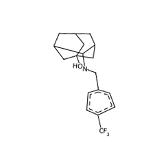 OC12CC3CC(C1)C([N]Cc1ccc(C(F)(F)F)cc1)C(C3)C2